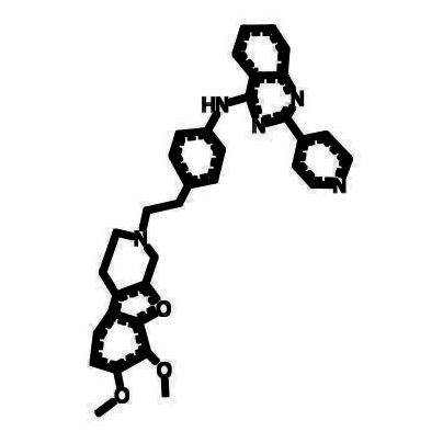 COc1ccc2c3c(oc2c1OC)CN(CCc1ccc(Nc2nc(-c4ccncc4)nc4ccccc24)cc1)CC3